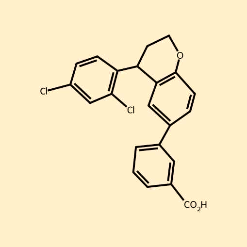 O=C(O)c1cccc(-c2ccc3c(c2)C(c2ccc(Cl)cc2Cl)CCO3)c1